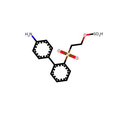 Nc1ccc(-c2ccccc2S(=O)(=O)CCOS(=O)(=O)O)cc1